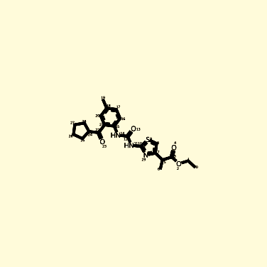 CCOC(=O)C(C)c1csc(NC(=O)Nc2ccc(C)cc2C(=O)C2CCCC2)n1